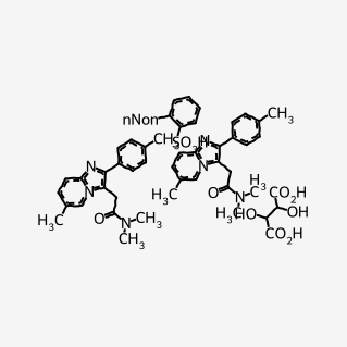 CCCCCCCCCc1ccccc1S(=O)(=O)O.Cc1ccc(-c2nc3ccc(C)cn3c2CC(=O)N(C)C)cc1.Cc1ccc(-c2nc3ccc(C)cn3c2CC(=O)N(C)C)cc1.O=C(O)C(O)C(O)C(=O)O